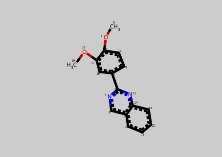 COc1ccc(-c2ncc3ccccc3n2)cc1OC